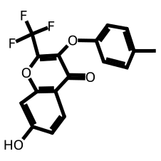 Cc1ccc(Oc2c(C(F)(F)F)oc3cc(O)ccc3c2=O)cc1